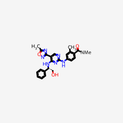 CNC(=O)c1ccc(Nc2ncc(-c3noc(C)n3)c(N[C@H](CO)c3ccccc3)n2)cc1C